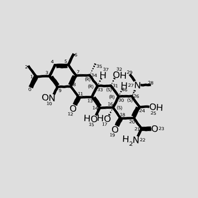 C=C(C)c1cc(C)c2c(c1N=O)C(=O)C1=C(O)[C@]3(O)C(=O)C(C(N)=O)=C(O)[C@@H](N(C)C)[C@@H]3[C@@H](O)[C@@H]1[C@H]2C